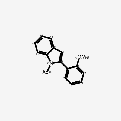 COc1ccccc1-c1cc2ccccc2n1C(C)=O